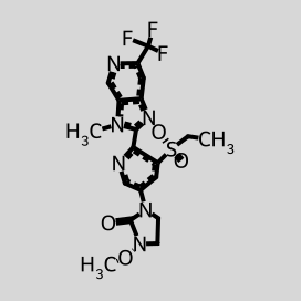 CCS(=O)(=O)c1cc(N2CCN(OC)C2=O)cnc1-c1nc2cc(C(F)(F)F)ncc2n1C